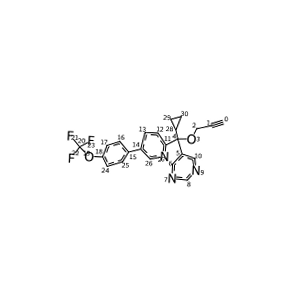 C#CCOC(c1cncnc1)(c1ccc(-c2ccc(OC(F)(F)F)cc2)cn1)C1CC1